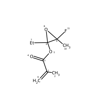 C=C(C)C(=O)OC1(CC)OC1(C)F